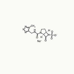 Cn1nnnc1CNC(=O)N1CC[C@@H]2[C@H]1C(=O)N2S(=O)(=O)[O-].[Na+]